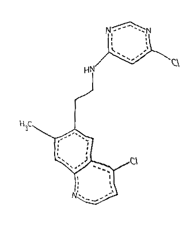 Cc1cc2nccc(Cl)c2cc1CCNc1cc(Cl)ncn1